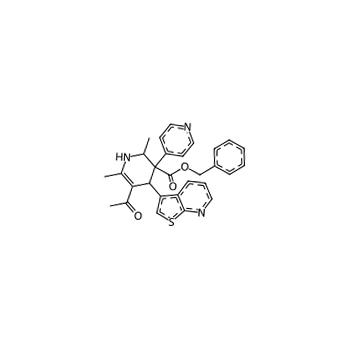 CC(=O)C1=C(C)NC(C)C(C(=O)OCc2ccccc2)(c2ccncc2)C1c1csc2ncccc12